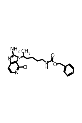 C[C@@H](CCCCNC(=O)OCc1ccccc1)n1c(N)nc2ccnc(Cl)c21